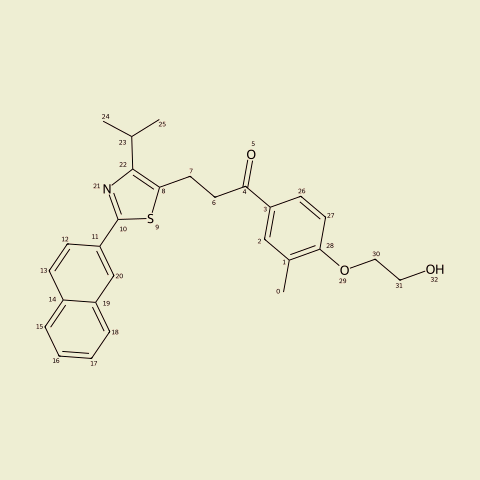 Cc1cc(C(=O)CCc2sc(-c3ccc4ccccc4c3)nc2C(C)C)ccc1OCCO